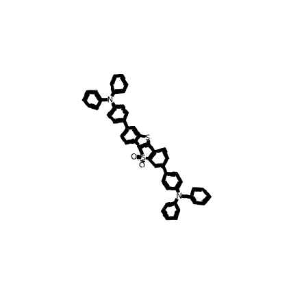 O=S1(=O)c2cc(-c3ccc(N(c4ccccc4)c4ccccc4)cc3)ccc2-c2sc3cc(-c4ccc(N(c5ccccc5)c5ccccc5)cc4)ccc3c21